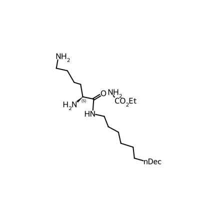 CCCCCCCCCCCCCCCCNC(=O)[C@@H](N)CCCCN.CCOC(N)=O